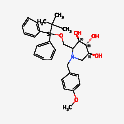 COc1ccc(CN2C[C@H](O)[C@@H](O)[C@H](O)C2CO[Si](c2ccccc2)(c2ccccc2)C(C)(C)C)cc1